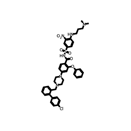 CN(C)CCCNc1ccc(S(=O)(=O)NC(=O)c2ccc(N3CCN(Cc4ccccc4-c4ccc(Cl)cc4)CC3)cc2Oc2ccccc2)cc1[N+](=O)[O-]